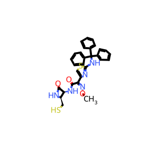 CON=C(C(=O)N[C@@H]1C(=O)N[C@@H]1CS)c1csc(NC(c2ccccc2)(c2ccccc2)c2ccccc2)n1